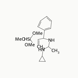 C=CC(NC(C)NC1CC1)c1ccccc1.CO[SiH](OC)OC